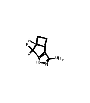 Nc1n[nH]c2c1C1CC[C@H]1C2(F)F